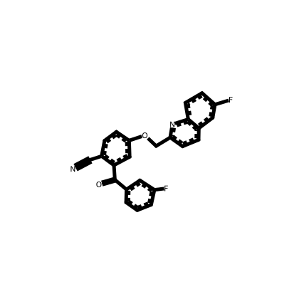 N#Cc1ccc(OCc2ccc3cc(F)ccc3n2)cc1C(=O)c1cccc(F)c1